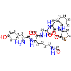 N[C@@H](Cc1ccc(O)cc1)C(=O)N[C@H](CCCCNC=O)C(=O)NCC(=O)N[C@@H](Cc1ccccc1)C(=O)NC1CCSC1=O